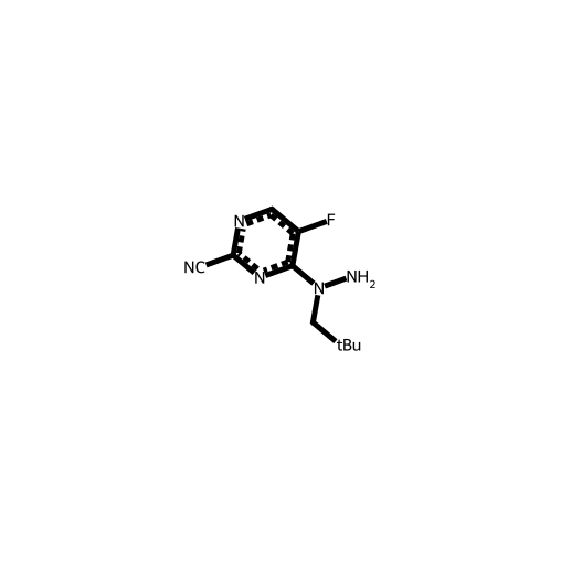 CC(C)(C)CN(N)c1nc(C#N)ncc1F